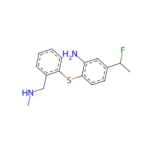 CNCc1ccccc1Sc1ccc(C(C)F)cc1N